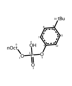 CCCCCCCCOP(=O)(O)Oc1ccc(C(C)(C)C)cc1